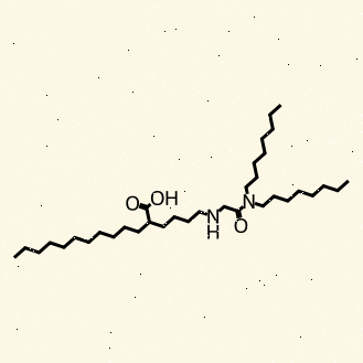 CCCCCCCCCCCC(CCCCNCC(=O)N(CCCCCCCC)CCCCCCCC)C(=O)O